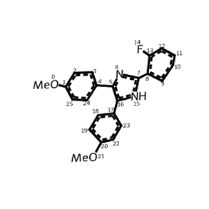 COc1ccc(-c2nc(-c3ccccc3F)[nH]c2-c2ccc(OC)cc2)cc1